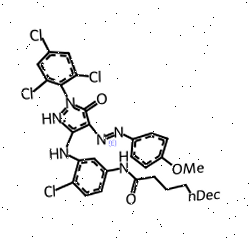 CCCCCCCCCCCCCC(=O)Nc1ccc(Cl)c(Nc2[nH]n(-c3c(Cl)cc(Cl)cc3Cl)c(=O)c2/N=N/c2ccc(OC)cc2)c1